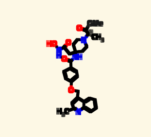 COC(=O)[C@H](C)N1CCC(CC(=O)NO)(NC(=O)c2ccc(OCc3cc(C)nc4ccccc34)cc2)CC1